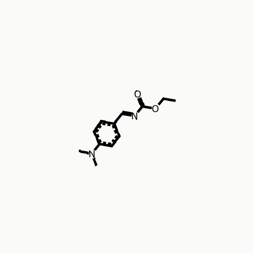 CCOC(=O)N=Cc1ccc(N(C)C)cc1